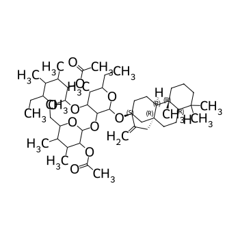 C=C1C[C@@]23CC[C@@H]4C(C)(C)CCC[C@@]4(C)[C@@H]2CC[C@]1(OC1OC(CC)C(C)C(OC2OC(CC)C(C)C(C)C2OC(C)=O)C1OC1OC(CC)C(C)C(C)C1OC(C)=O)C3